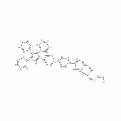 C/C=C\C=C/c1ccc2ccc(-c3ccc(-c4ccc5c(c4)c4ccccc4n4c(-c6ccccc6)c(-c6ccccc6)nc54)cc3)nc2c1